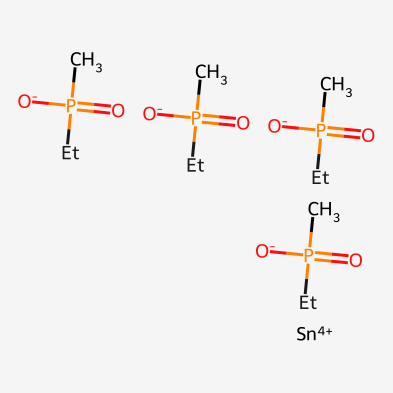 CCP(C)(=O)[O-].CCP(C)(=O)[O-].CCP(C)(=O)[O-].CCP(C)(=O)[O-].[Sn+4]